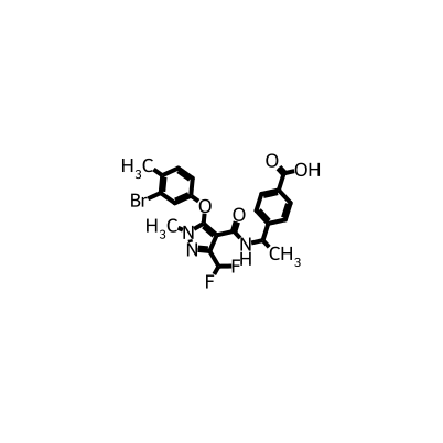 Cc1ccc(Oc2c(C(=O)NC(C)c3ccc(C(=O)O)cc3)c(C(F)F)nn2C)cc1Br